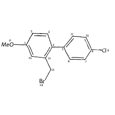 COc1ccc(-c2ccc(Cl)cc2)c(CBr)c1